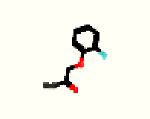 COC(=O)COc1ccccc1F